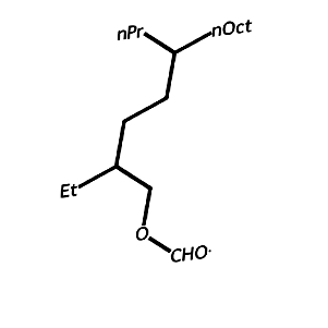 CCCCCCCCC(CCC)CCC(CC)CO[C]=O